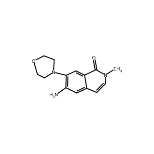 Cn1ccc2cc(N)c(N3CCOCC3)cc2c1=O